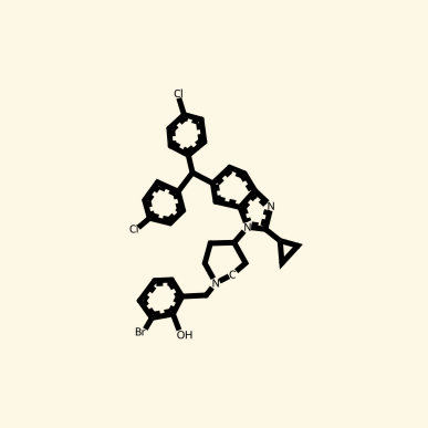 Oc1c(Br)cccc1CN1CCC(n2c(C3CC3)nc3ccc(C(c4ccc(Cl)cc4)c4ccc(Cl)cc4)cc32)CC1